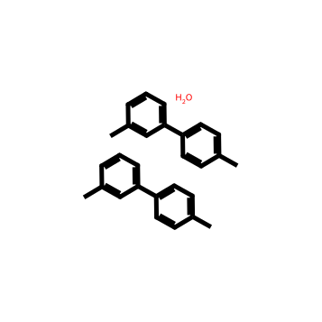 Cc1ccc(-c2cccc(C)c2)cc1.Cc1ccc(-c2cccc(C)c2)cc1.O